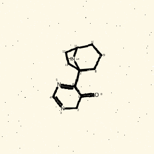 O=C1CN=[C]N=C1C12CCCC(CC1)N2